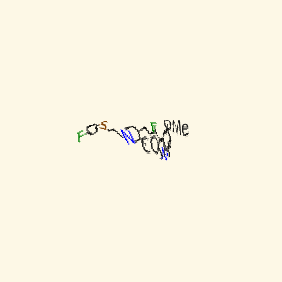 COc1ccc2nccc(C(F)CC[C@@H]3CCN(CCCSc4ccc(F)cc4)C[C@@H]3C(=O)O)c2c1